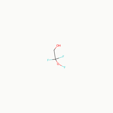 OCC(F)(F)OF